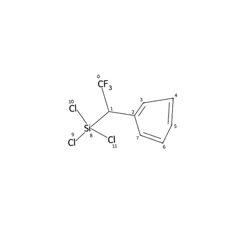 FC(F)(F)C(c1ccccc1)[Si](Cl)(Cl)Cl